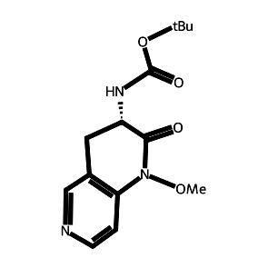 CON1C(=O)[C@@H](NC(=O)OC(C)(C)C)Cc2cnccc21